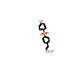 O=C(O)C=Cc1ccc(S(=O)(=O)c2ccc(O)cc2)cc1